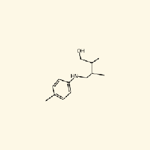 Cc1ccc(NCC(C)C(C)CO)cc1